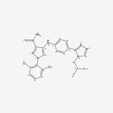 NC(=O)c1nn(-c2c(Cl)cccc2Cl)cc1Nc1ccc(-c2nncn2CC(F)F)cc1